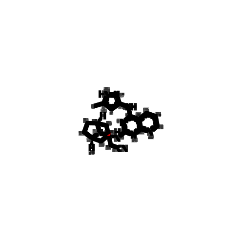 Cc1cc(Nc2nc(N[C@@H]3C[C@H]4CC[C@@H](C3)N4CCC#N)nc3ncccc23)n[nH]1